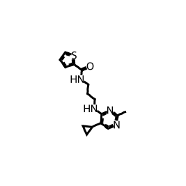 Cc1ncc(C2CC2)c(NCCCNC(=O)c2cccs2)n1